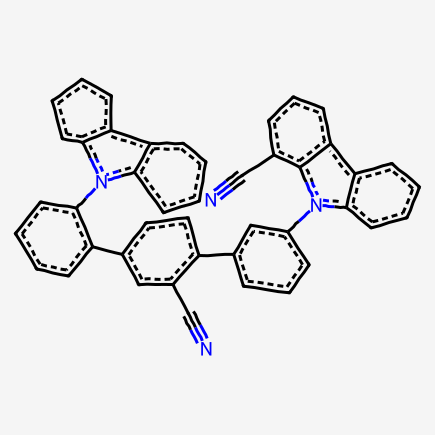 N#Cc1cc(-c2ccccc2-n2c3ccccc3c3ccccc32)ccc1-c1cccc(-n2c3ccccc3c3cccc(C#N)c32)c1